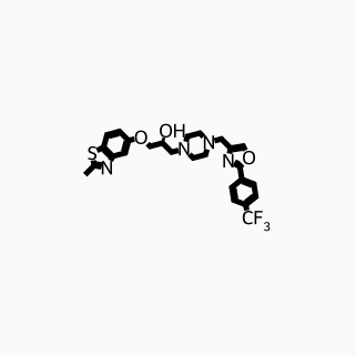 Cc1nc2cc(OC[C@@H](O)CN3CCN(Cc4coc(-c5ccc(C(F)(F)F)cc5)n4)CC3)ccc2s1